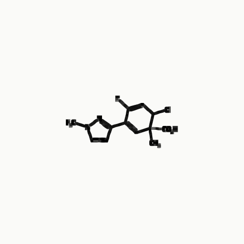 CC1(C(=O)O)C=C(c2ccn(C(F)(F)F)n2)C(F)=CC1Cl